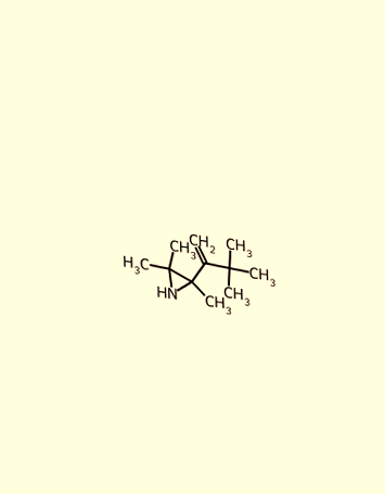 C=C(C(C)(C)C)C1(C)NC1(C)C